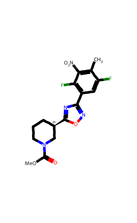 COC(=O)N1CCC[C@@H](c2nc(-c3cc(F)c(C)c([N+](=O)[O-])c3F)no2)C1